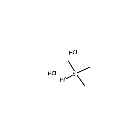 C[Si](C)(C)[Hf].Cl.Cl